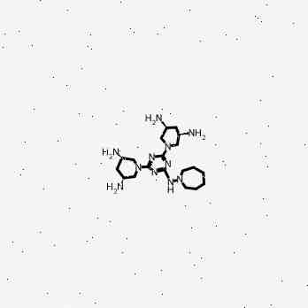 N[C@@H]1C[C@H](N)CN(c2nc(NN3CCCCCC3)nc(N3C[C@H](N)C[C@H](N)C3)n2)C1